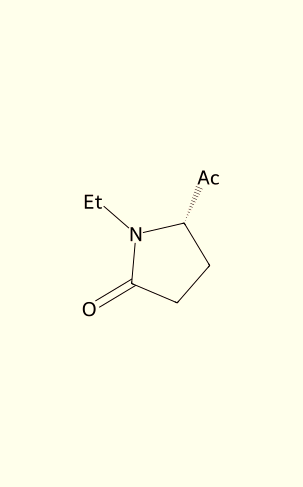 CCN1C(=O)CC[C@H]1C(C)=O